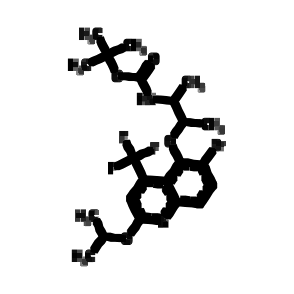 CC(C)Oc1cc(C(F)(F)F)c2c(OC(C)C(C)NC(=O)OC(C)(C)C)c(Br)ccc2n1